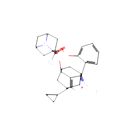 O=C(N[C@H]1CC[C@H](C(=O)O)CC1)N1C2CC(OCc3c(-c4ccccc4OC(F)(F)F)noc3C3CC3)CC1C2